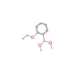 CCOc1ccccc1C(OC)OC